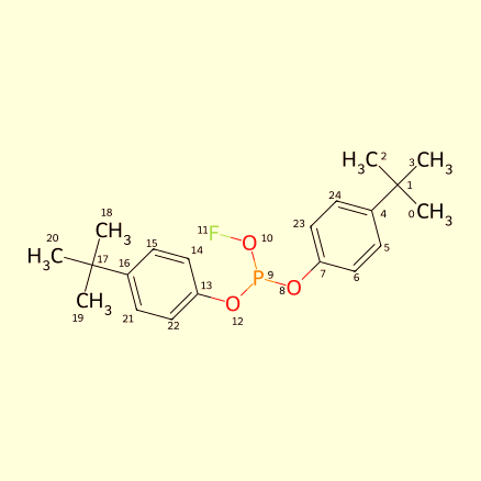 CC(C)(C)c1ccc(OP(OF)Oc2ccc(C(C)(C)C)cc2)cc1